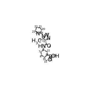 Cc1c(C(=O)Nc2ccc3c(c2)B(O)OC3)nnn1-c1ccccn1